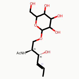 C/C=C/[C@@H](O)[C@H](COC1OC(CO)C(O)C(O)C1O)NC(C)=O